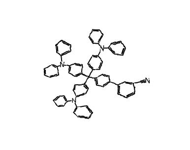 N#Cc1cccc(-c2ccc(C(c3ccc(N(c4ccccc4)c4ccccc4)cc3)(c3ccc(N(c4ccccc4)c4ccccc4)cc3)c3ccc(N(c4ccccc4)c4ccccc4)cc3)cc2)c1